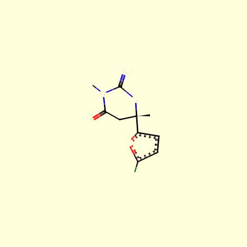 CN1C(=N)N[C@](C)(c2ccc(Br)o2)CC1=O